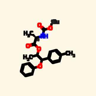 Cc1ccc(C(Oc2ccccc2)C(C)OC(=O)[C@H](C)NC(=O)OC(C)(C)C)cc1